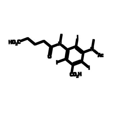 CC(=O)N(C)c1c(I)c(C(=O)O)c(I)c(N(C)C(=O)CCCC(=O)O)c1I